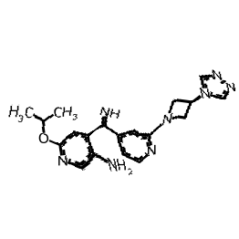 CC(C)Oc1cc(C(=N)c2ccnc(N3CC(n4cnnc4)C3)c2)c(N)cn1